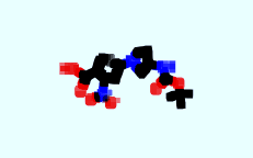 CC(C)(C)OC(=O)Nc1ccn(-c2ccc(C(=O)O)c([N+](=O)[O-])c2)c1